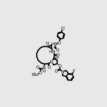 CC(C)(C)OC(=O)NC1CCCCCCC[C@@H]2C[C@@]2(C(=O)NOc2ccc(Cl)cc2)NC(=O)[C@@H]2C[C@@H](OC(=O)N3Cc4cccc(F)c4C3)CN2C1=O